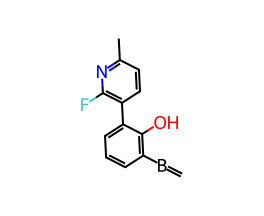 C=Bc1cccc(-c2ccc(C)nc2F)c1O